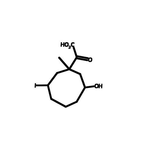 CC1(C(=O)C(=O)O)CC(O)CCCC(I)C1